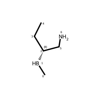 CB[C@H](CC)CN